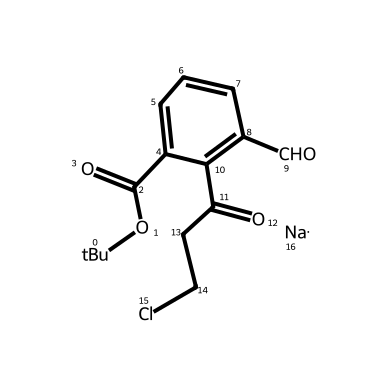 CC(C)(C)OC(=O)c1cccc(C=O)c1C(=O)CCCl.[Na]